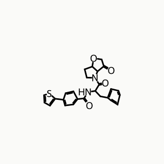 O=C(NC(Cc1ccccc1)C(=O)N1CCC2OCC(=O)C21)c1ccc(-c2cccs2)cc1